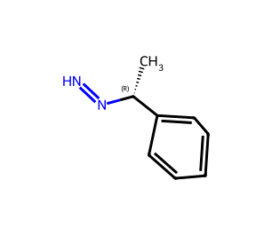 C[C@@H](N=N)c1ccccc1